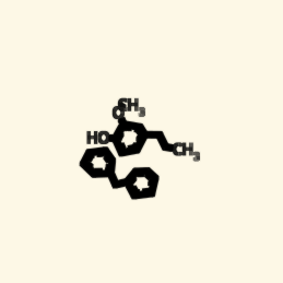 CCCc1ccc(O)c(OC)c1.c1ccc(Cc2ccccc2)cc1